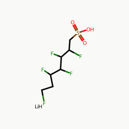 O=S(=O)(O)CC(F)C(F)C(F)C(F)CCF.[LiH]